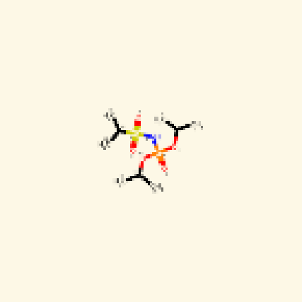 CC(C)OP(=O)(NS(=O)(=O)C(C)C)OC(C)C